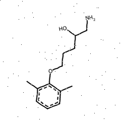 Cc1cccc(C)c1OCCCC(O)CN